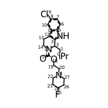 CC(C)CC1c2[nH]c3ccc(Cl)cc3c2CCN1C(=O)OCCN1CCC(F)CC1